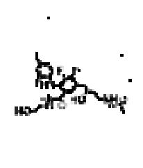 CC(=O)CNCCN(O)Cc1cc(C(=O)NOCCO)c(Nc2ccc(I)cc2F)c(F)c1F